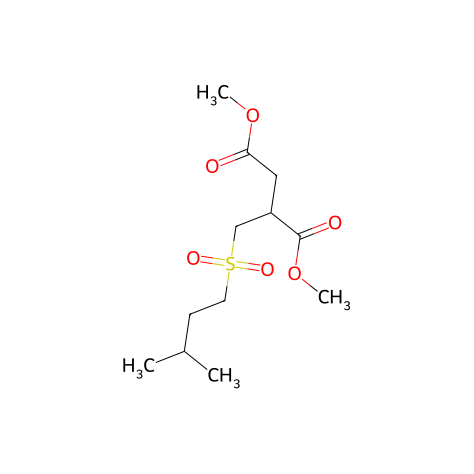 COC(=O)CC(CS(=O)(=O)CCC(C)C)C(=O)OC